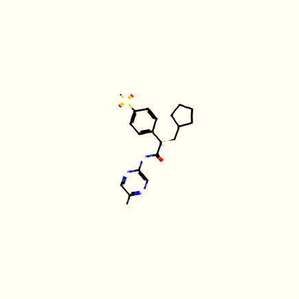 CSc1cnc(NC(=O)[C@H](CC2CCCC2)c2ccc(S(C)(=O)=O)cc2)cn1